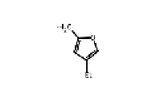 [CH2]c1cc(CC)co1